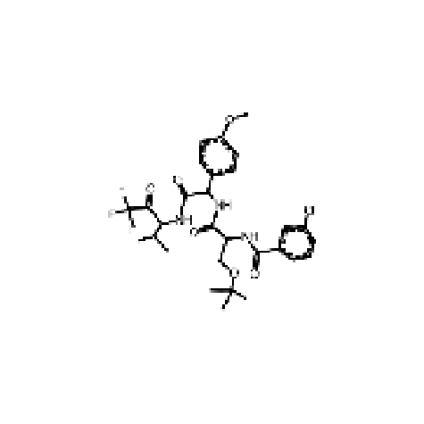 COc1ccc(C(NC(=O)C(COC(C)(C)C)NC(=O)c2cccc(Cl)c2)C(=O)NC(C(=O)C(F)(F)F)C(C)C)cc1